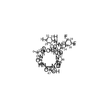 C[C@H]1C[C@H]2C(=O)O[C@@H](C)[C@H](NC(=O)[C@H](Cc3cc(F)cc(F)c3)NC(=O)Nc3ccc(I)cc3)C(=O)N3CCC[C@H]3C(=O)N(C)[C@@H]([C@@H](C)O)C(=O)N[C@@H](C)C(=O)N2C1